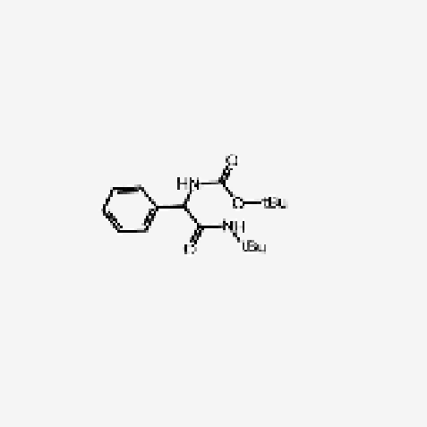 CC(C)(C)NC(=O)C(NC(=O)OC(C)(C)C)c1ccccc1